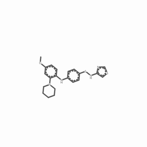 COc1ccc(Nc2ccc(SNc3cscn3)cc2)c(N2CCCCC2)c1